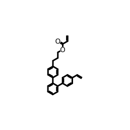 C=CC(=O)OCCCc1ccc(-c2ccccc2-c2ccc(C=C)cc2)cc1